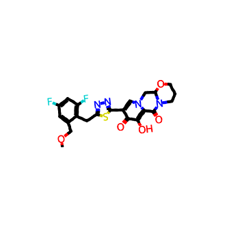 COCc1cc(F)cc(F)c1Cc1nnc(-c2cn3c(c(O)c2=O)C(=O)N2CCCOC2C3)s1